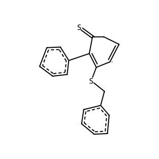 S=C1CC=[C]C(SCc2ccccc2)=C1c1ccccc1